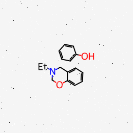 CCN1COc2ccccc2C1.Oc1ccccc1